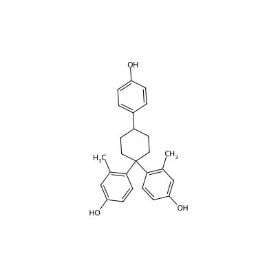 Cc1cc(O)ccc1C1(c2ccc(O)cc2C)CCC(c2ccc(O)cc2)CC1